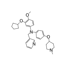 COc1ccc(N(Cc2cccnc2)c2ccc(OC3CCN(C)CC3)cc2)cc1OC1CCCC1